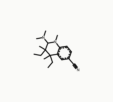 CCC1(C)c2cc(C#N)ccc2N(C)C(N(C)C)C1(C)CC